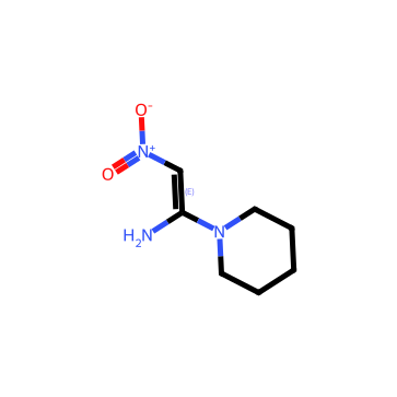 N/C(=C\[N+](=O)[O-])N1CCCCC1